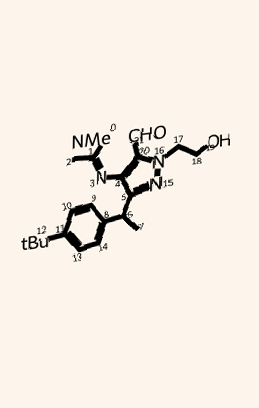 CN/C(C)=N\c1c(C(C)c2ccc(C(C)(C)C)cc2)nn(CCO)c1C=O